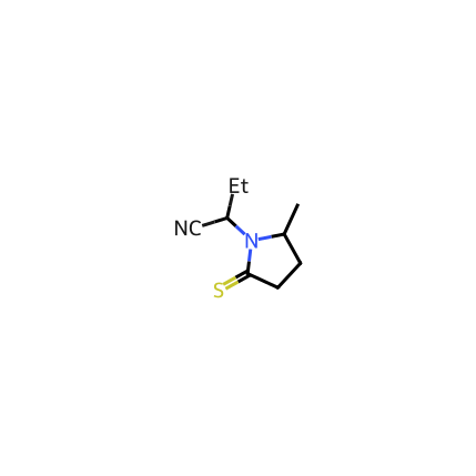 CCC(C#N)N1C(=S)CCC1C